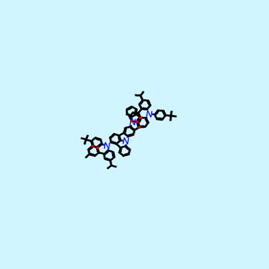 Cc1cccc(-c2cc(C(C)C)ccc2N(c2ccc(C(C)(C)C)cc2)c2ccc3c4cc5c(cc4n4c6ccccc6c2c34)c2ccc(N(c3ccc(C(C)(C)C)cc3)c3ccc(C(C)C)cc3-c3cccc(C)c3)c3c4ccccc4n5c23)c1